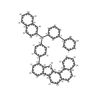 c1ccc(-c2cccc(N(c3ccc(-c4cccc5c4oc4c5ccc5ccc6ccccc6c54)cc3)c3ccc4ccccc4c3)c2)cc1